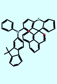 CC1(C)c2ccccc2-c2ccc(N(c3ccccc3)c3ccc4c(c3)C3(c5ccccc5S4)c4ccccc4-c4cccc5cccc3c45)cc21